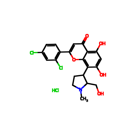 CN1CCC(c2c(O)cc(O)c3c(=O)cc(-c4ccc(Cl)cc4Cl)oc23)C1CO.Cl